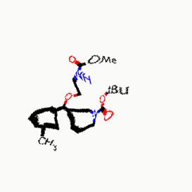 COC(=O)NCCOC(c1cccc(C)c1)C1CCCN(C(=O)OC(C)(C)C)C1